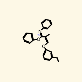 CCc1cccc(OC=C(C)/C(=N\c2ccccc2)Oc2ccccc2)c1